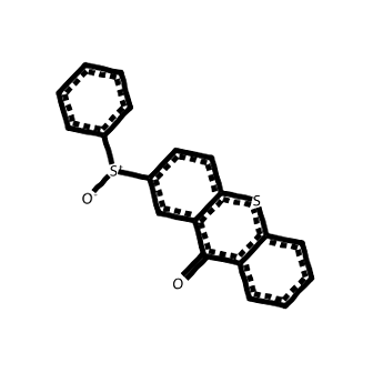 O=c1c2ccccc2sc2ccc([S+]([O-])c3ccccc3)cc12